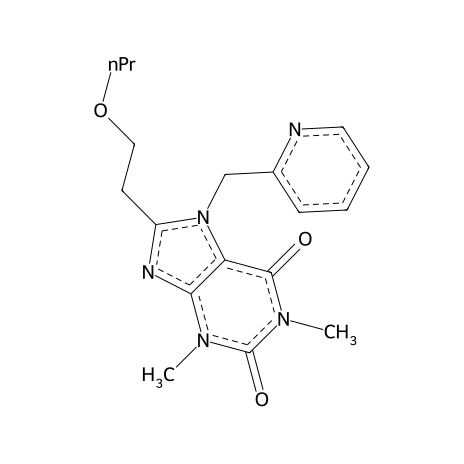 CCCOCCc1nc2c(c(=O)n(C)c(=O)n2C)n1Cc1ccccn1